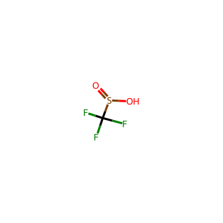 O=S(O)C(F)(F)F